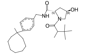 CC(C(=O)N1C[C@H](O)C[C@H]1C(=O)NCc1ccc(C2(C)CCCCCCC2)cc1)C(C)(C)C